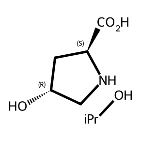 CC(C)O.O=C(O)[C@@H]1C[C@@H](O)CN1